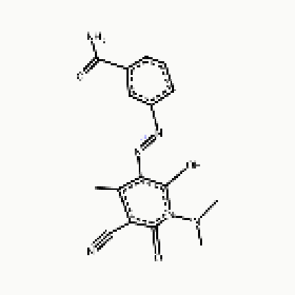 Cc1c(/N=N/c2cccc(C(N)=O)c2)c(O)n(N(C)C)c(=O)c1C#N